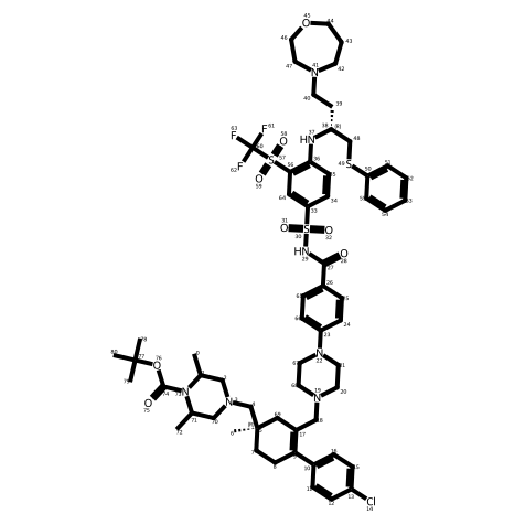 CC1CN(C[C@]2(C)CCC(c3ccc(Cl)cc3)=C(CN3CCN(c4ccc(C(=O)NS(=O)(=O)c5ccc(N[C@H](CCN6CCCOCC6)CSc6ccccc6)c(S(=O)(=O)C(F)(F)F)c5)cc4)CC3)C2)CC(C)N1C(=O)OC(C)(C)C